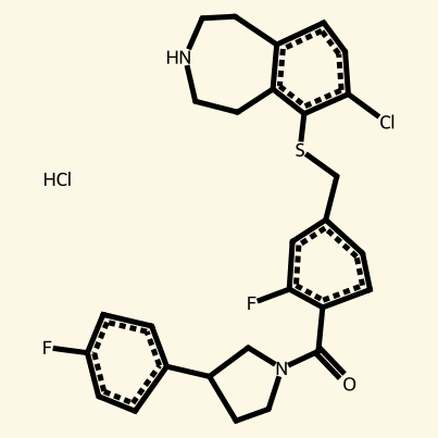 Cl.O=C(c1ccc(CSc2c(Cl)ccc3c2CCNCC3)cc1F)N1CCC(c2ccc(F)cc2)C1